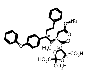 C[C@H]([C@H](CCc1ccccc1)c1ccc(Oc2ccccc2)cc1)N(CC(=O)OC(C)(C)C)C(=O)[C@H]1OC(C(=O)O)(C(=O)O)O[C@@H]1C(=O)O